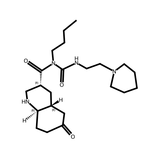 CCCCN(C(=O)NCCN1CCCCC1)C(=O)[C@H]1CN[C@@H]2CCC(=O)C[C@H]2C1